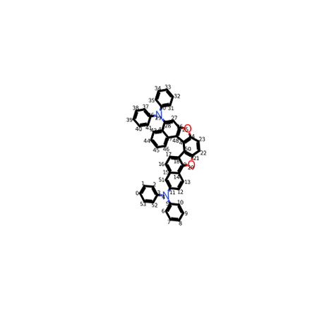 c1ccc(N(c2ccccc2)c2ccc3c(ccc4c3oc3ccc5oc6cc(N(c7ccccc7)c7ccccc7)c7ccccc7c6c5c34)c2)cc1